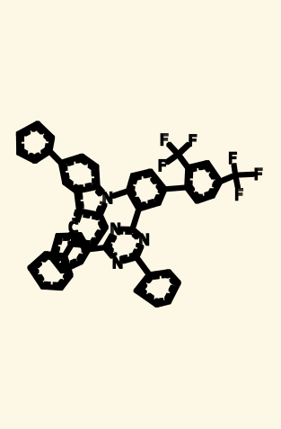 FC(F)(F)c1ccc(-c2ccc(-n3c4ccc(-c5ccccc5)cc4c4cc(-c5ccccc5)ccc43)c(-c3nc(-c4ccccc4)nc(-c4ccccc4)n3)c2)c(C(F)(F)F)c1